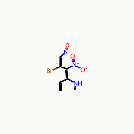 C=C/C(NC)=C(\C(Br)=C/N=O)[N+](=O)[O-]